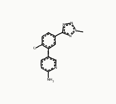 Cn1nnc(-c2ccc(Cl)c(-c3ccc(N)nc3)c2)n1